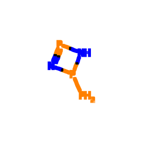 Pp1np[nH]1